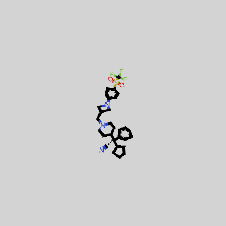 N#C[C@](c1ccccc1)(C1CCCC1)C1CCN(CC2CN(c3ccc(S(=O)(=O)C(F)(F)F)cc3)C2)CC1